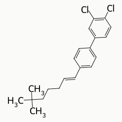 CC(C)(C)CCCC=Cc1ccc(-c2ccc(Cl)c(Cl)c2)cc1